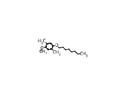 [CH2]c1cc(OCCCCCCCC)c([CH2])cc1OC